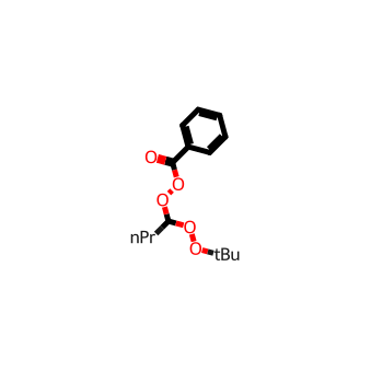 CCCC(OOC(=O)c1ccccc1)OOC(C)(C)C